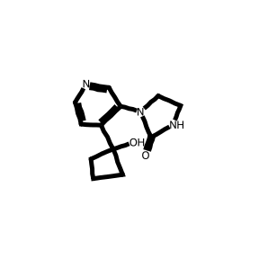 O=C1NCCN1c1cnccc1C1(O)CCC1